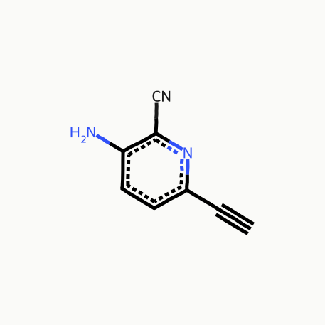 C#Cc1ccc(N)c(C#N)n1